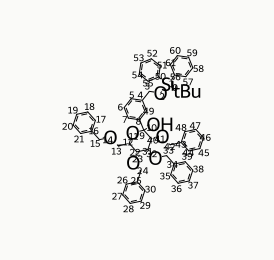 CC(C)(C)[Si](OCc1cccc(C2(O)O[C@H](COCc3ccccc3)[C@@H](OCc3ccccc3)[C@H](OCc3ccccc3)[C@H]2OCc2ccccc2)c1)(c1ccccc1)c1ccccc1